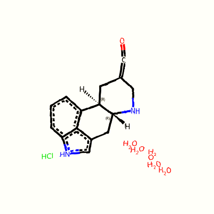 Cl.O.O.O.O.O.O=C=C1CN[C@@H]2Cc3c[nH]c4cccc(c34)[C@H]2C1